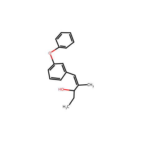 CCC(O)C(C)=Cc1cccc(Oc2ccccc2)c1